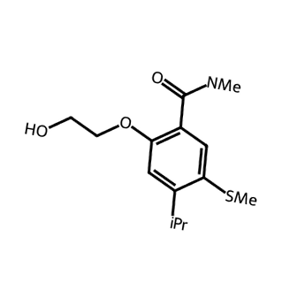 CNC(=O)c1cc(SC)c(C(C)C)cc1OCCO